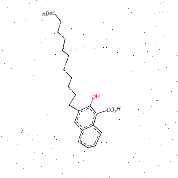 CCCCCCCCCCCCCCCCCCCCc1cc2ccccc2c(C(=O)O)c1O